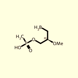 BC[C@H](COP(C)(=O)O)OC